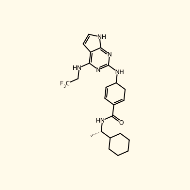 C[C@H](NC(=O)C1=CCC(Nc2nc(NCC(F)(F)F)c3cc[nH]c3n2)C=C1)C1CCCCC1